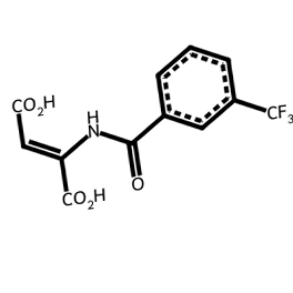 O=C(O)/C=C(\NC(=O)c1cccc(C(F)(F)F)c1)C(=O)O